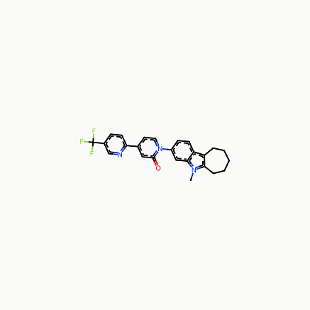 Cn1c2c(c3ccc(-n4ccc(-c5ccc(C(F)(F)F)cn5)cc4=O)cc31)CCCCC2